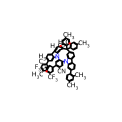 Cc1ccc(-c2ccc3c4ccc5cc4n(c3c2)-c2cc(C#N)c(-c3cc(C(F)(F)F)cc(C(F)(F)F)c3)cc2-n2c3cc(-c4ccc(C)cc4C)ccc3c3ccc(cc32)C5(c2ccc(C)cc2C)c2ccc(C)cc2C)c(C)c1